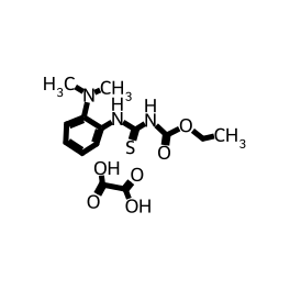 CCOC(=O)NC(=S)Nc1ccccc1N(C)C.O=C(O)C(=O)O